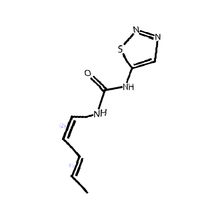 C/C=C/C=C\NC(=O)Nc1cnns1